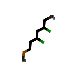 CC(=O)SCCC(F)CC(F)CC(F)(F)F